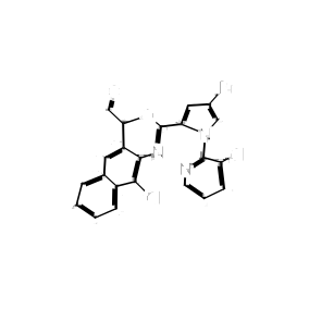 O=CC1OC(c2cc(Br)cn2-c2ncccc2Cl)=Nc2c1cc1ccccc1c2Cl